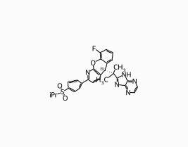 CC(C)S(=O)(=O)c1ccc(-c2ccc3c(n2)Oc2c(F)cccc2[C@@H]3C(C)(C)c2nc3nccnc3[nH]2)cc1